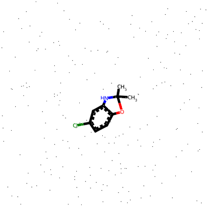 CC1(C)Nc2cc(Cl)ccc2O1